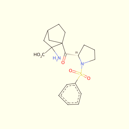 NC1(C(=O)O)CC2CCC1(C(=O)[C@@H]1CCCN1S(=O)(=O)c1ccccc1)C2